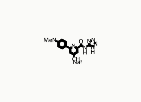 CNc1ccc(-c2cc(C)cc(C(=O)Nc3nnn[nH]3)n2)cc1.[Na]